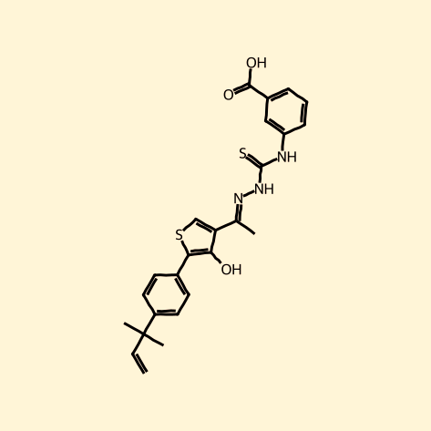 C=CC(C)(C)c1ccc(-c2scc(/C(C)=N/NC(=S)Nc3cccc(C(=O)O)c3)c2O)cc1